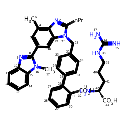 CCCc1nc2c(C)cc(-c3nc4ccccc4n3C)cc2n1Cc1ccc(-c2ccccc2C(=O)O)cc1.N=C(N)NCCC[C@H](N)C(=O)O